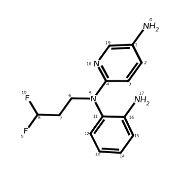 Nc1ccc(N(CCC(F)F)c2ccccc2N)nc1